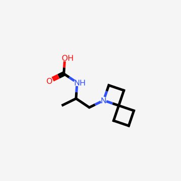 CC(CN1CCC12CCC2)NC(=O)O